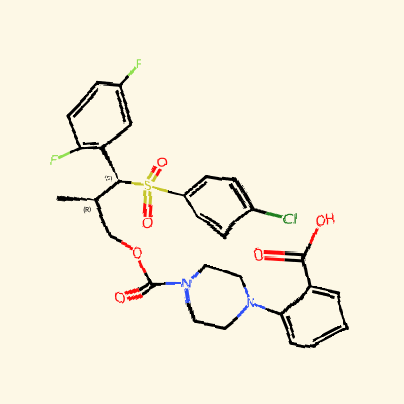 C[C@H](COC(=O)N1CCN(c2ccccc2C(=O)O)CC1)[C@@H](c1cc(F)ccc1F)S(=O)(=O)c1ccc(Cl)cc1